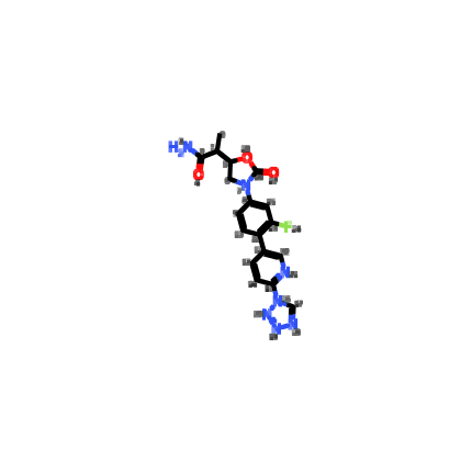 CC(C(N)=O)C1CN(c2ccc(-c3ccc(-n4cnnn4)nc3)c(F)c2)C(=O)O1